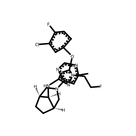 Cc1cc(N2C[C@H]3CC[C@@H](C2)[C@H]3Nc2nc(Oc3ccc(F)c(Cl)c3)n(CCF)n2)ncn1